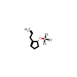 C=CCC1=CCC[C@H]1O[Si](CC)(CC)CC